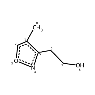 Cc1conc1CCO